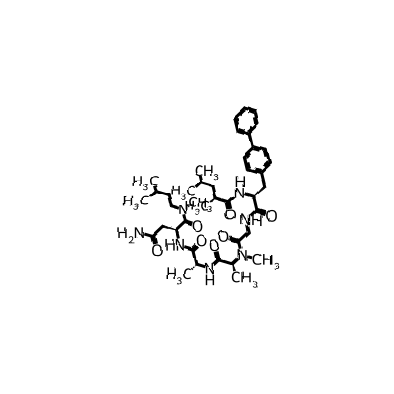 CC(C)CCN(C)C(=O)[C@H](CC(N)=O)NC(=O)[C@@H](C)NC(=O)[C@H](C)N(C)C(=O)CNC(=O)[C@H](Cc1ccc(-c2ccccc2)cc1)NC(=O)[C@@H](C)CC(C)C